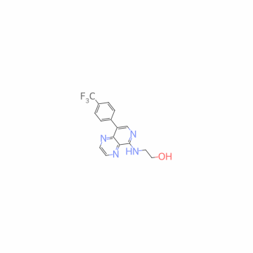 OCCNc1ncc(-c2ccc(C(F)(F)F)cc2)c2nccnc12